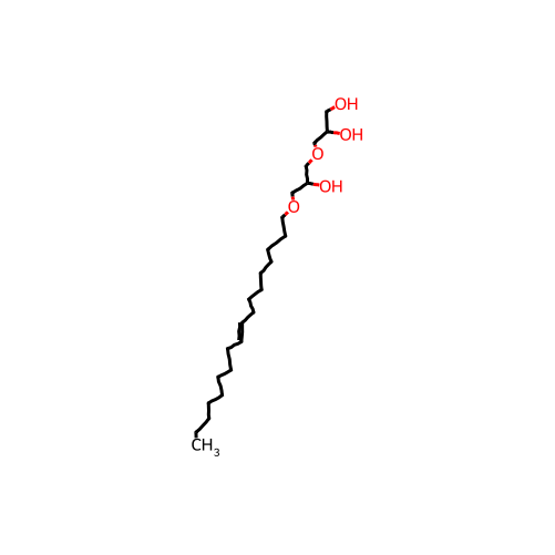 CCCCCCCCC=CCCCCCCCCOCC(O)COCC(O)CO